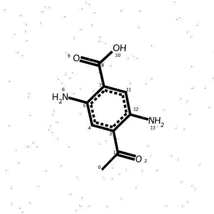 CC(=O)c1cc(N)c(C(=O)O)cc1N